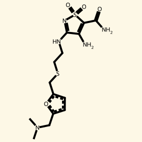 CN(C)Cc1ccc(CSCCNC2=NS(=O)(=O)C(C(N)=O)=C2N)o1